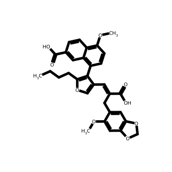 CCCCc1occ(/C=C(\Cc2cc3c(cc2OC)OCO3)C(=O)O)c1-c1ccc(OC)c2ccc(C(=O)O)cc12